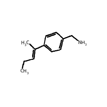 CCC=C(C)c1ccc(CN)cc1